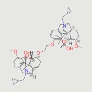 COc1ccc2c3c1O[C@H]1C34CCN(CC3CC3)[C@H](C2)[C@]42CC[C@]1(OCCOc1ccc3c4c1O[C@H]1[C@]45CCN(CC4CC4)C(C3)[C@]53CC[C@@]1(OC)C([C@](C)(O)C(C)(C)C)C3)[C@@H]([C@](C)(O)C(C)(C)C)C2